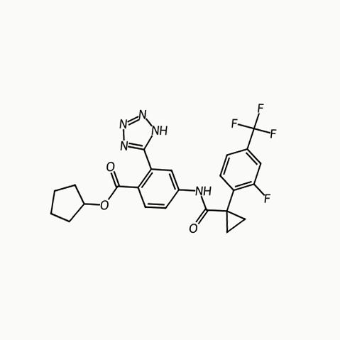 O=C(OC1CCCC1)c1ccc(NC(=O)C2(c3ccc(C(F)(F)F)cc3F)CC2)cc1-c1nnn[nH]1